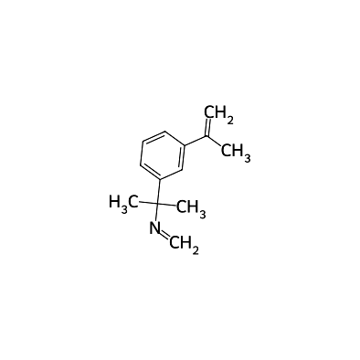 C=NC(C)(C)c1cccc(C(=C)C)c1